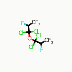 FC(C(F)(F)F)C(Cl)(Cl)OC(Cl)(Cl)C(F)C(F)(F)F